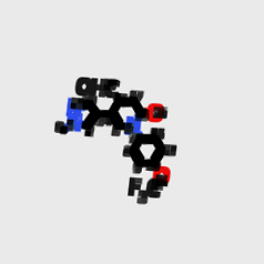 Cn1cc(-c2cn(-c3ccc(OC(F)(F)F)cc3)c(=O)cc2C=O)cn1